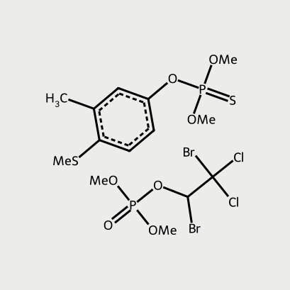 COP(=O)(OC)OC(Br)C(Cl)(Cl)Br.COP(=S)(OC)Oc1ccc(SC)c(C)c1